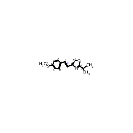 CSc1ccc(/C=C/c2noc(C(C)C)n2)cc1